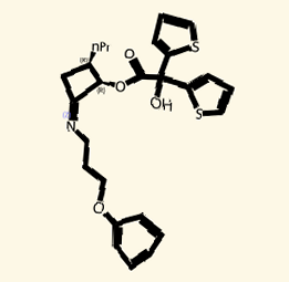 CCC[C@@H]1C/C(=N/CCCOc2ccccc2)[C@@H]1OC(=O)C(O)(c1cccs1)c1cccs1